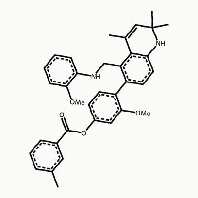 COc1ccccc1NCc1c(-c2ccc(OC(=O)c3cccc(C)c3)cc2OC)ccc2c1C(C)=CC(C)(C)N2